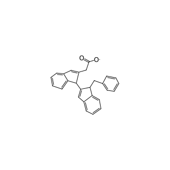 [O]C(=O)CC1=Cc2ccccc2C1C1=Cc2ccccc2C1Cc1ccccc1